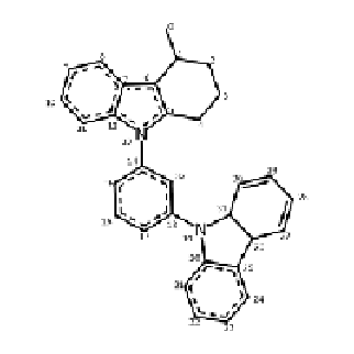 CC1CCCc2c1c1ccccc1n2-c1cccc(N2c3ccccc3C3C=CC=CC32)c1